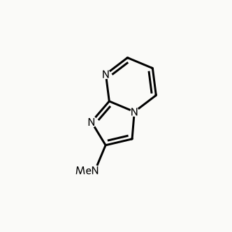 CNc1cn2cccnc2n1